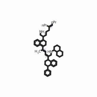 CCC/C=C(\CCC)CCCC(CN)C1=c2ccccc2=C(/C(C)=C/C=C(\CNC2CCCC3CCCCC32)C2CCC(c3ccccc3)c3ccccc32)CC1